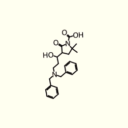 CC1(C)CC(C(O)CCN(Cc2ccccc2)Cc2ccccc2)C(=O)N1C(=O)O